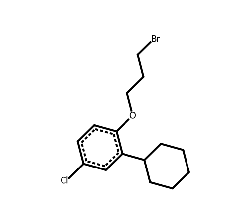 Clc1ccc(OCCCBr)c(C2CCCCC2)c1